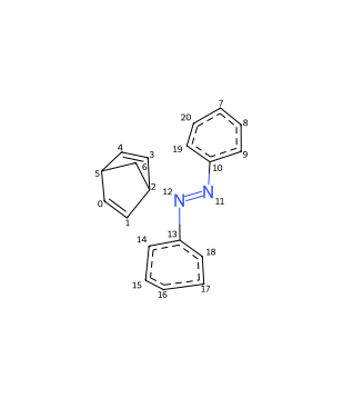 C1=CC2C=CC1C2.c1ccc(N=Nc2ccccc2)cc1